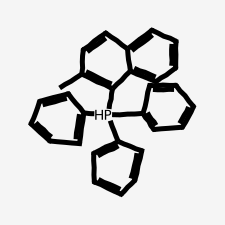 Cc1ccc2ccccc2c1[PH](c1ccccc1)(c1ccccc1)c1ccccc1